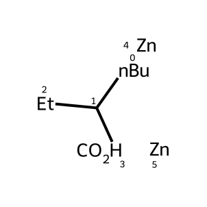 CCCCC(CC)C(=O)O.[Zn].[Zn]